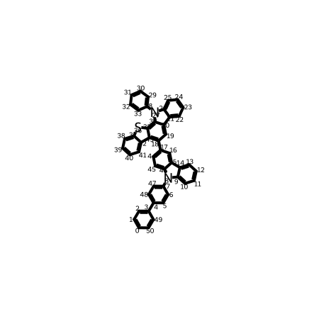 c1ccc(-c2ccc(-n3c4ccccc4c4cc(-c5cc6c7ccccc7n(-c7ccccc7)c6c6sc7ccccc7c56)ccc43)cc2)cc1